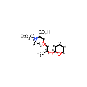 CCOC(=O)N(C)[C@@H](COC[C@H](C)OC1CCCCO1)C(=O)O